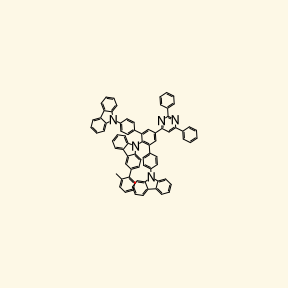 Cc1ccccc1-c1ccc2c(c1)c1ccccc1n2-c1c(-c2ccc(-n3c4ccccc4c4ccccc43)cc2)cc(-c2cc(-c3ccccc3)nc(-c3ccccc3)n2)cc1-c1ccc(-n2c3ccccc3c3ccccc32)cc1